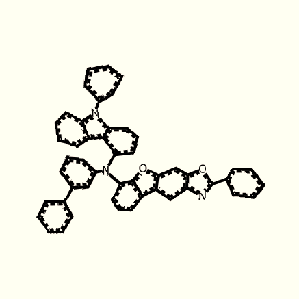 c1ccc(-c2cccc(N(c3cccc4c3oc3cc5oc(-c6ccccc6)nc5cc34)c3cccc4c3c3ccccc3n4-c3ccccc3)c2)cc1